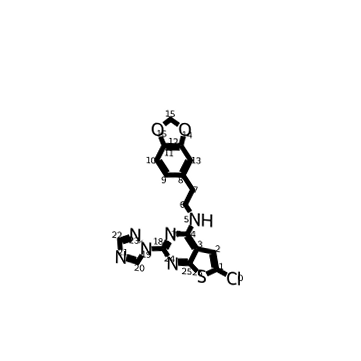 Clc1cc2c(NCCc3ccc4c(c3)OCO4)nc(-n3cncn3)nc2s1